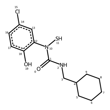 O=C(NCC1CCCCC1)N(S)c1cc(Cl)ccc1O